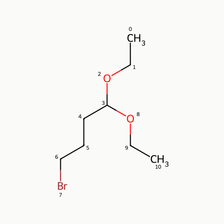 CCOC(CCCBr)OCC